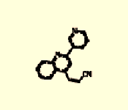 N#C/C=C\c1cc(-c2cccnc2)nc2ccccc12